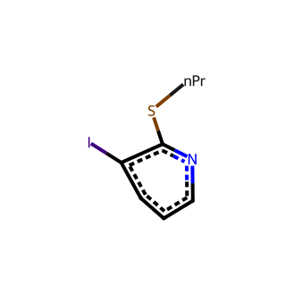 CCCSc1ncccc1I